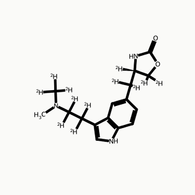 [2H]C([2H])([2H])N(C)C([2H])([2H])C([2H])([2H])c1c[nH]c2ccc(C([2H])([2H])[C@]3([2H])NC(=O)OC3([2H])[2H])cc12